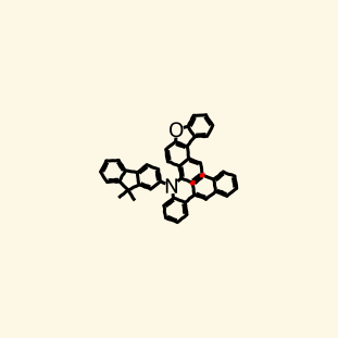 CC1(C)c2ccccc2-c2ccc(N(c3ccccc3-c3ccc4ccccc4c3)c3cccc4c3ccc3oc5ccccc5c34)cc21